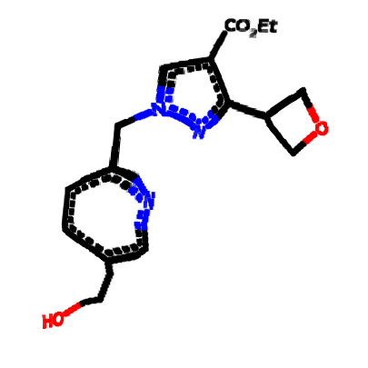 CCOC(=O)c1cn(Cc2ccc(CO)cn2)nc1C1COC1